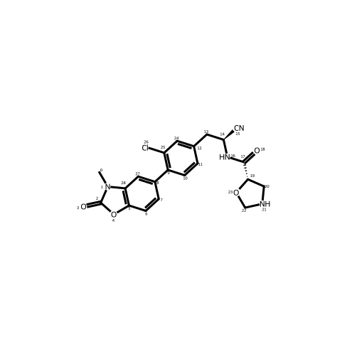 Cn1c(=O)oc2ccc(-c3ccc(C[C@@H](C#N)NC(=O)[C@@H]4CNCO4)cc3Cl)cc21